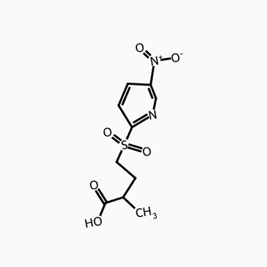 CC(CCS(=O)(=O)c1ccc([N+](=O)[O-])cn1)C(=O)O